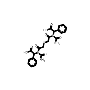 NC(=O)N(C(=O)COCC(=O)N(C(N)=O)C(C(=O)O)c1ccccc1)C(C(=O)O)c1ccccc1